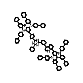 c1ccc(-c2ccc(N3c4ccc(-c5ccccc5)cc4B4c5cc(-c6ccccc6)ccc5N(c5ccc(-c6ccccc6)cc5)c5cc(-c6ccc(-c7nc(-c8ccccc8)nc(-c8cccc(-c9ccnc%10c(-c%11cc%12c%13c(c%11)N(c%11ccc(-c%14ccccc%14)cc%11)c%11ccc(-c%14ccccc%14)cc%11B%13c%11cc(-c%13ccccc%13)ccc%11N%12c%11ccc(-c%12ccccc%12)cc%11)cccc9%10)c8)n7)cc6)cc3c54)cc2)cc1